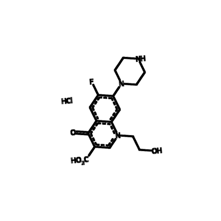 Cl.O=C(O)c1cn(CCO)c2cc(N3CCNCC3)c(F)cc2c1=O